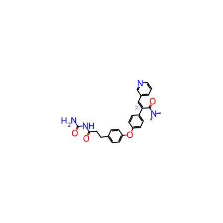 CN(C)C(=O)/C(=C\c1cccnc1)c1ccc(Oc2ccc(CCC(=O)NC(N)=O)cc2)cc1